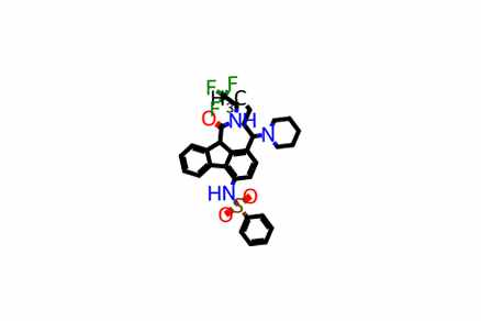 CCCC(c1ccc(NS(=O)(=O)c2ccccc2)c2c1C(C(=O)NCC(F)(F)F)c1ccccc1-2)N1CCCCC1